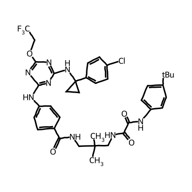 CC(C)(CNC(=O)C(=O)Nc1ccc(C(C)(C)C)cc1)CNC(=O)c1ccc(Nc2nc(NC3(c4ccc(Cl)cc4)CC3)nc(OCC(F)(F)F)n2)cc1